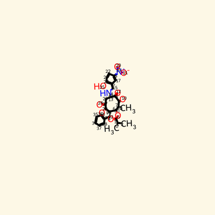 CC(C)C(=O)O[C@@H]1[C@H](C)C(=O)C(=O)[C@@H](NCc2cc([N+](=O)[O-])ccc2O)CC(=O)C(=O)[C@@H]1Cc1ccccc1